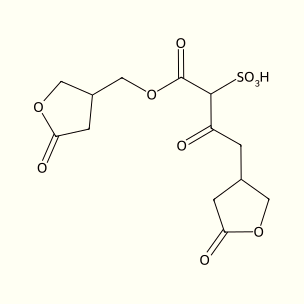 O=C1CC(COC(=O)C(C(=O)CC2COC(=O)C2)S(=O)(=O)O)CO1